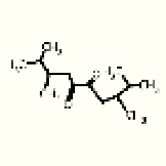 CC(C)C(C)CC(=O)C(=O)CC(C)C(C)C